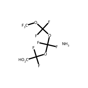 N.O=C(O)C(F)(F)OC(F)(F)OC(F)(F)OC(F)(F)F